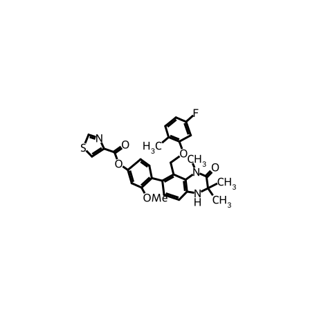 COc1cc(OC(=O)c2cscn2)ccc1-c1ccc2c(c1COc1cc(F)ccc1C)N(C)C(=O)C(C)(C)N2